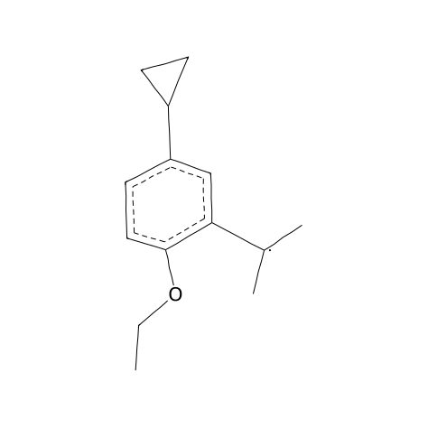 CCOc1ccc(C2CC2)cc1[C](C)C